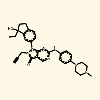 C#CCn1c(=O)c2cnc(Nc3ccc(N4CCN(C)CC4)cc3)nc2n1-c1ccc2c(n1)C(O)(CC)CC2